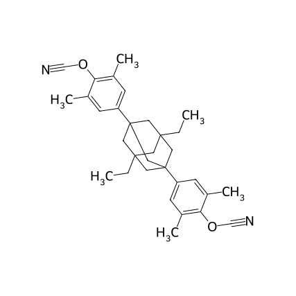 CCC12CC3(CC)CC(c4cc(C)c(OC#N)c(C)c4)(C1)CC(c1cc(C)c(OC#N)c(C)c1)(C2)C3